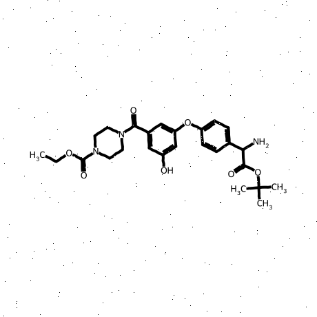 CCOC(=O)N1CCN(C(=O)c2cc(O)cc(Oc3ccc(C(N)C(=O)OC(C)(C)C)cc3)c2)CC1